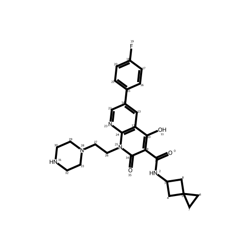 O=C(NC1CC2(CC2)C1)c1c(O)c2cc(-c3ccc(F)cc3)cnc2n(CCN2CCNCC2)c1=O